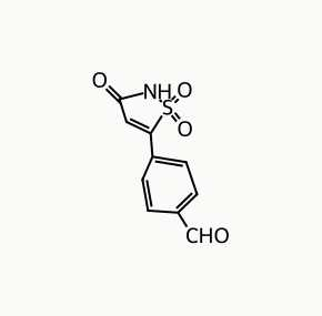 O=Cc1ccc(C2=CC(=O)NS2(=O)=O)cc1